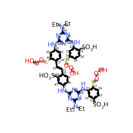 CCN(CC)c1nc(Nc2ccc(/C=C/c3ccc(Nc4nc(Nc5cc(SOOO)ccc5S(=O)(=O)O)nc(N(CC)CC)n4)cc3SOOO)c(S(=O)(=O)O)c2)nc(Nc2cc(S(=O)(=O)O)ccc2SOOO)n1